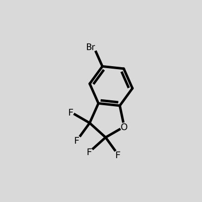 FC1(F)Oc2ccc(Br)cc2C1(F)F